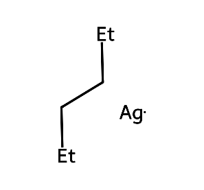 CCCCCC.[Ag]